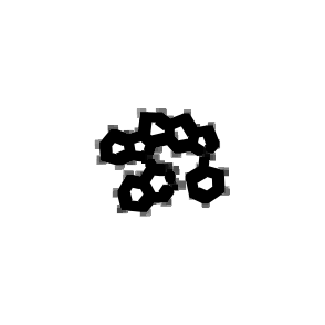 c1ccc(-n2ccc3cc4ccc5c6ccccc6n(-c6nncc7ccccc67)c5c4cc32)cc1